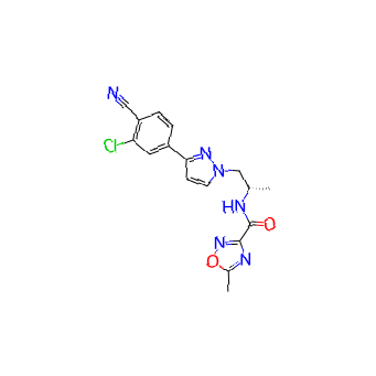 Cc1nc(C(=O)N[C@@H](C)Cn2ccc(-c3ccc(C#N)c(Cl)c3)n2)no1